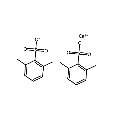 Cc1cccc(C)c1S(=O)(=O)[O-].Cc1cccc(C)c1S(=O)(=O)[O-].[Ca+2]